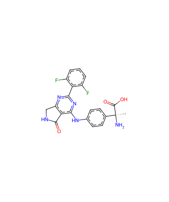 C[C@@](N)(C(=O)O)c1ccc(Nc2nc(-c3c(F)cccc3F)nc3c2C(=O)NC3)cc1